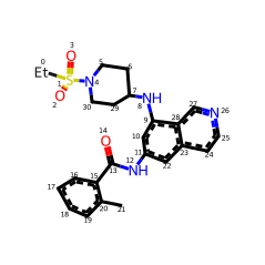 CCS(=O)(=O)N1CCC(Nc2cc(NC(=O)c3ccccc3C)cc3ccncc23)CC1